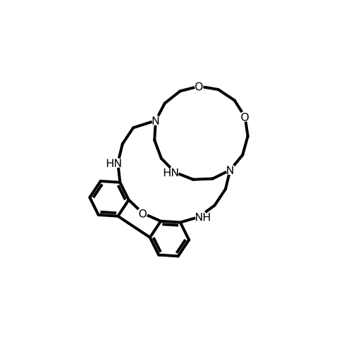 c1cc2c3oc4c(cccc4c3c1)NCCN1CCNCCN(CCN2)CCOCCOCC1